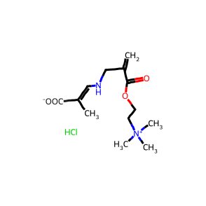 C=C(CNC=C(C)C(=O)[O-])C(=O)OCC[N+](C)(C)C.Cl